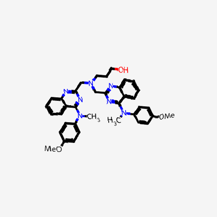 COc1ccc(N(C)c2nc(CN(CCCO)Cc3nc(N(C)c4ccc(OC)cc4)c4ccccc4n3)nc3ccccc23)cc1